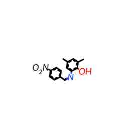 Cc1cc(C)c(O)c(/N=C\c2ccc([N+](=O)[O-])cc2)c1